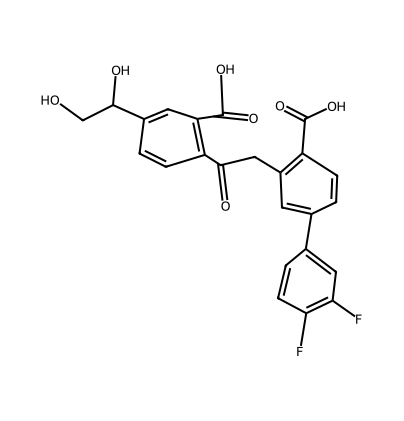 O=C(O)c1ccc(-c2ccc(F)c(F)c2)cc1CC(=O)c1ccc(C(O)CO)cc1C(=O)O